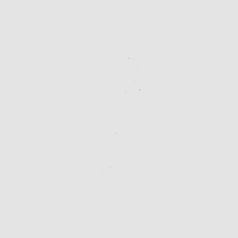 CCN(C)C(=O)c1ccc(N2CCC(C3CCN(C(=O)C(O)(c4ccccc4)C(F)(F)F)CC3)CC2)cc1Cl